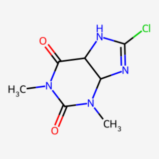 CN1C(=O)C2NC(Cl)=NC2N(C)C1=O